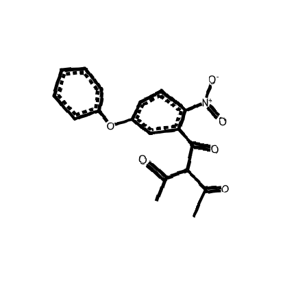 CC(=O)C(C(C)=O)C(=O)c1cc(Oc2ccccc2)ccc1[N+](=O)[O-]